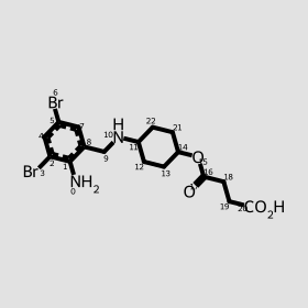 Nc1c(Br)cc(Br)cc1CNC1CCC(OC(=O)CCC(=O)O)CC1